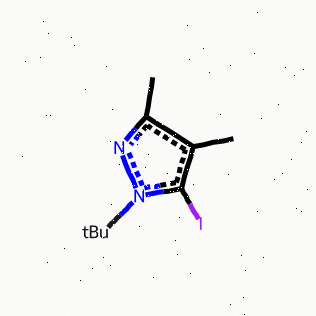 Cc1nn(C(C)(C)C)c(I)c1C